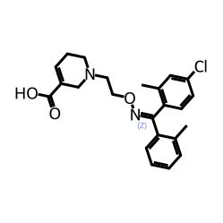 Cc1ccccc1/C(=N/OCCN1CCC=C(C(=O)O)C1)c1ccc(Cl)cc1C